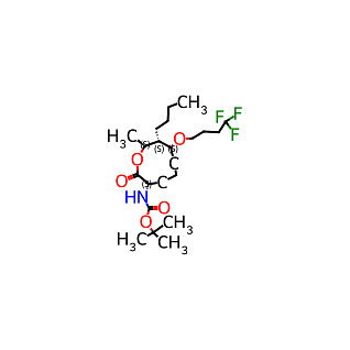 CCCC[C@H]1[C@H](C)OC(=O)[C@@H](NC(=O)OC(C)(C)C)CCC[C@@H]1OCCCC(F)(F)F